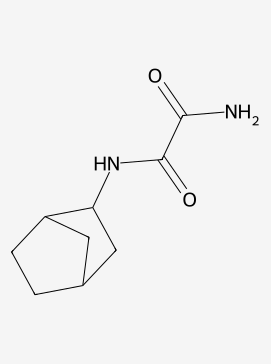 NC(=O)C(=O)NC1CC2CCC1C2